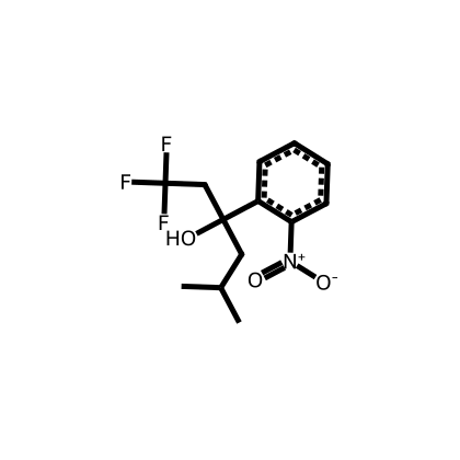 CC(C)CC(O)(CC(F)(F)F)c1ccccc1[N+](=O)[O-]